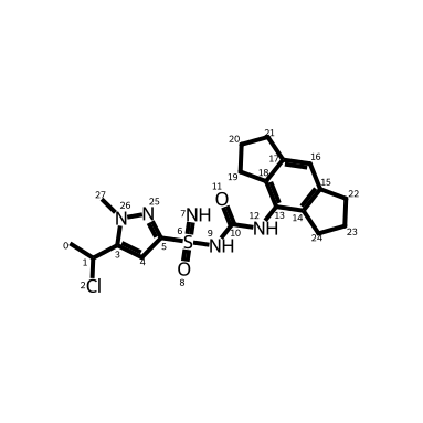 CC(Cl)c1cc(S(=N)(=O)NC(=O)Nc2c3c(cc4c2CCC4)CCC3)nn1C